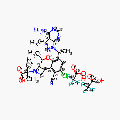 CCOc1c(C(C)n2nc(C)c3c(N)ncnc32)cc(Cl)c(C#N)c1C1CN(C(C)(C)C(=O)O)C1.O=C(O)C(F)(F)F.O=C(O)C(F)(F)F